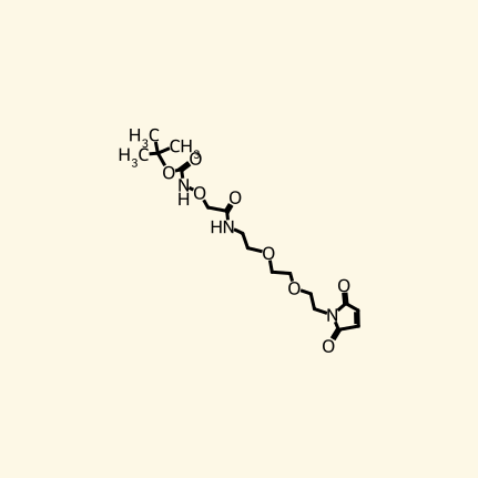 CC(C)(C)OC(=O)NOCC(=O)NCCOCCOCCN1C(=O)C=CC1=O